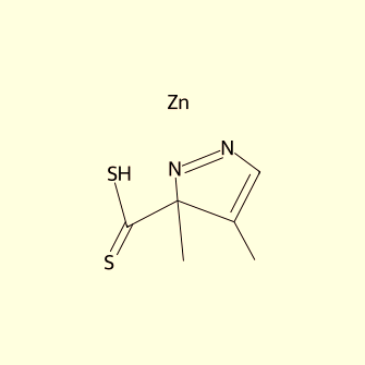 CC1=CN=NC1(C)C(=S)S.[Zn]